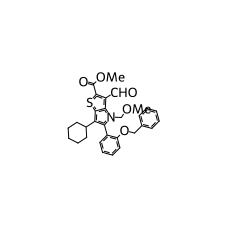 COCn1c(-c2ccccc2OCc2ccccc2)c(C2CCCCC2)c2sc(C(=O)OC)c(C=O)c21